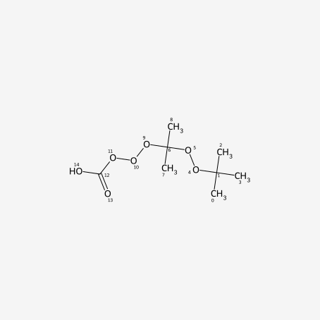 CC(C)(C)OOC(C)(C)OOOC(=O)O